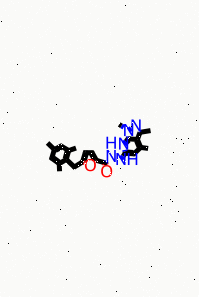 Cc1cc(C)c(Cc2ccc(C(=O)NNc3cc(C)c4c(C)nn(C)c4n3)o2)c(C)c1